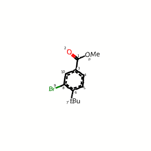 COC(=O)c1ccc(C(C)(C)C)c(Br)c1